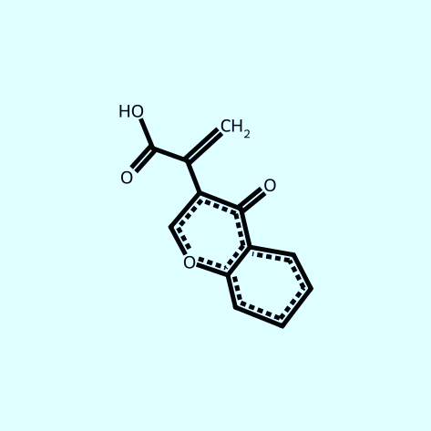 C=C(C(=O)O)c1coc2ccccc2c1=O